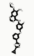 CCOc1cc2ncnc(Nc3ccc(Oc4cccc(-c5nnc(C6CC6)o5)c4)cc3F)c2cc1N